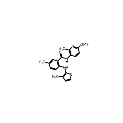 COc1ccc(NC(=O)c2cc(C(F)(F)F)ccc2Nc2sccc2C)c(C)n1